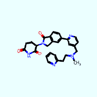 CN(CCc1ccccn1)Cc1ccnc(-c2ccc3c(c2)CN(C2CCC(=O)NC2=O)C3=O)c1